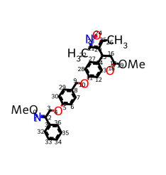 CO/N=C(\COc1ccc(COc2ccc(C(CC(=O)OC)c3c(C)noc3C)cc2)cc1)c1ccccc1